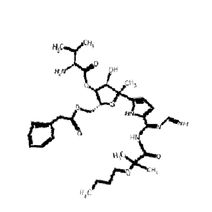 CCCCOC(C)(C)C(=O)N/C(=N/C=N)c1ccc([C@]2(C)O[C@H](COC(=O)Cc3ccccc3)[C@@H](OC(=O)[C@@H](N)C(C)C)[C@H]2O)[nH]1